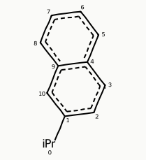 CC(C)c1c[c]c2ccccc2c1